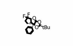 CC(C)(C)[C@H]1OC(=O)[C@](c2ccccc2)([C@@H]2CCC(F)(F)C2)O1